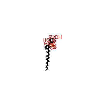 CCCCCCCCCCCCc1ccccc1OS(=O)(=O)O[C@@H]1O[C@H](CO)[C@@H](O)[C@H](O)[C@@H]1O